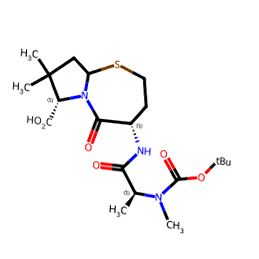 C[C@@H](C(=O)N[C@H]1CCSC2CC(C)(C)[C@@H](C(=O)O)N2C1=O)N(C)C(=O)OC(C)(C)C